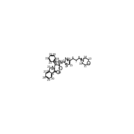 O=C(Nc1nc(CCCN2CCOCC2)cs1)C(c1ccccc1)N1Cc2ccccc2C1=O